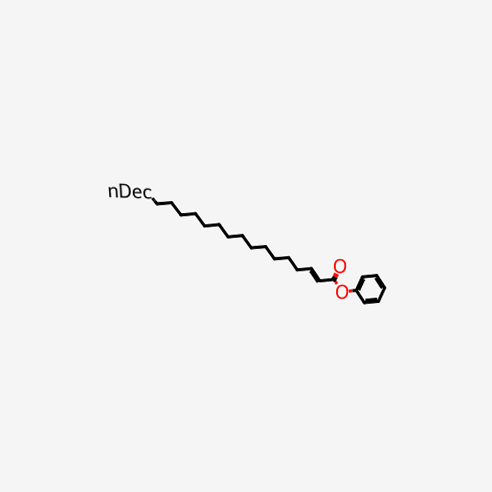 CCCCCCCCCCCCCCCCCCCCCCCC=CC(=O)Oc1ccccc1